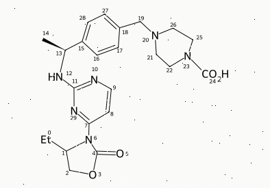 CCC1COC(=O)N1c1ccnc(N[C@@H](C)c2ccc(CN3CCN(C(=O)O)CC3)cc2)n1